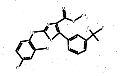 COC(=O)c1nc(Nc2ccc(Cl)cc2Cl)sc1-c1cccc(C(F)(F)F)c1